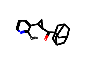 COc1ncccc1C1CC1C(=O)C12CC3CC(CC(C3)C1)C2